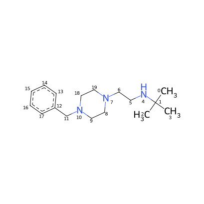 CC(C)(C)NCCN1CCN(Cc2ccccc2)CC1